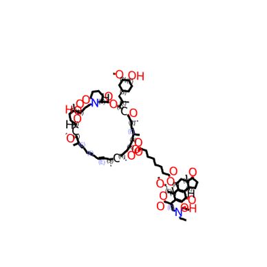 CCN(/C=C1/C(=O)O[C@H](COC)[C@@]2(C)C1=C(O)C(=O)C1=C2[C@H](OC(=O)CCCCCCC(=O)O[C@@H]2/C(C)=C/[C@@H](C)C(=O)C[C@@H]([C@H](C)C[C@@H]3CC[C@@H](O)[C@H](OC)C3)OC(=O)[C@@H]3CCCCN3C(=O)C(=O)[C@]3(O)O[C@@H](CC[C@H]3C)C[C@H](OC)/C(C)=C/C=C/C=C/[C@@H](C)C[C@@H](C)C(=O)[C@@H]2OC)C[C@]2(C)C(=O)CC[C@@H]12)CC